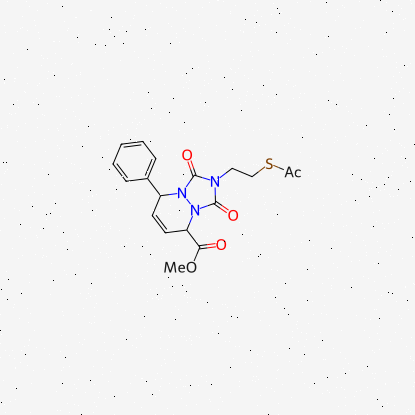 COC(=O)C1C=CC(c2ccccc2)n2c(=O)n(CCSC(C)=O)c(=O)n21